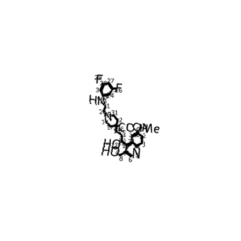 COc1ccc2ncc(CO)c([C@@H](O)CCC3(C(=O)O)CCN(CCNc4cc(F)cc(F)c4)CC3)c2c1